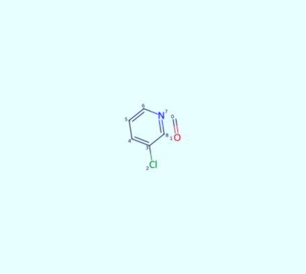 C=O.Clc1cccnc1